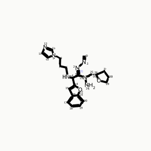 C=N/N=C(/C(NCCCn1ccnc1)c1cc2ccccc2o1)N(N)C[C@@H]1CCCO1